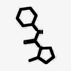 CC1CCCN1C(=O)NC1CCCCC1